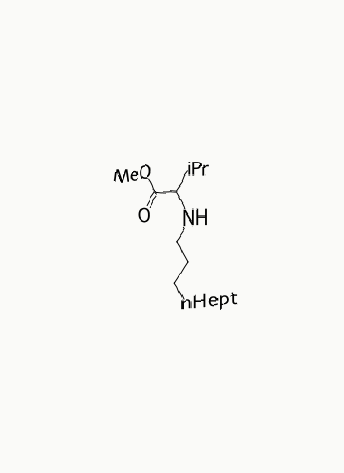 CCCCCCCCCCNC(C(=O)OC)C(C)C